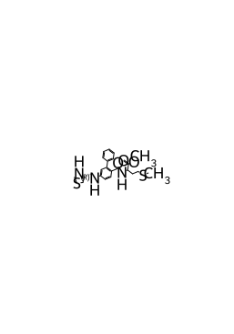 COC(=O)C(CCSC)NC(=O)c1ccc(NC[C@@H]2CSCN2)cc1-c1ccccc1